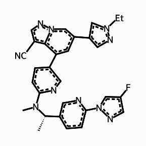 CCn1cc(-c2cc(-c3ccc(N(C)[C@@H](C)c4ccc(-n5cc(F)cn5)nc4)nc3)c3c(C#N)cnn3c2)cn1